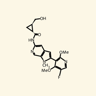 COc1ncc(F)c(OC)c1-c1cc2cc(NC(=O)[C@@H]3C[C@H]3CO)ncc2n1C